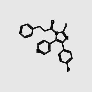 O=C(CCc1ccccc1)n1c(I)nc(-c2ccc(F)cc2)c1-c1ccncc1